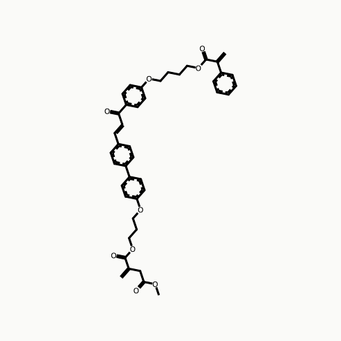 C=C(CC(=O)OC)C(=O)OCCCOc1ccc(-c2ccc(/C=C/C(=O)c3ccc(OCCCCOC(=O)C(=C)c4ccccc4)cc3)cc2)cc1